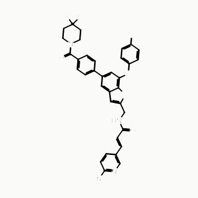 Nc1ccc(/C=C/C(=O)NCc2cc3cc(-c4ccc(C(=O)N5CCC(F)(F)CC5)cc4)cc(Oc4ccc(F)cc4)c3o2)cn1